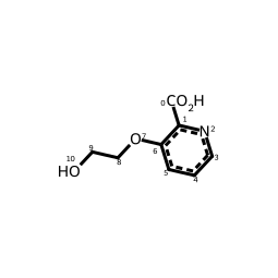 O=C(O)c1ncccc1OCCO